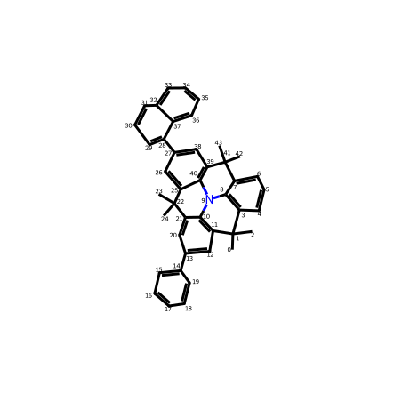 CC1(C)c2cccc3c2N2c4c1cc(-c1ccccc1)cc4C(C)(C)c1cc(-c4cccc5ccccc45)cc(c12)C3(C)C